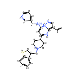 C=Cc1cnn2c(NCc3cccnc3)cc(C3CCN(CC4CSc5ccccc54)CC3)nc12